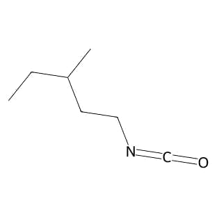 CCC(C)CCN=C=O